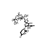 CC#C[C@@]1(O)[C@H](O)[C@@](CF)(COP(=O)(O)OP(=O)(O)OP(=O)(O)O)O[C@H]1n1ccc(=O)[nH]c1=O